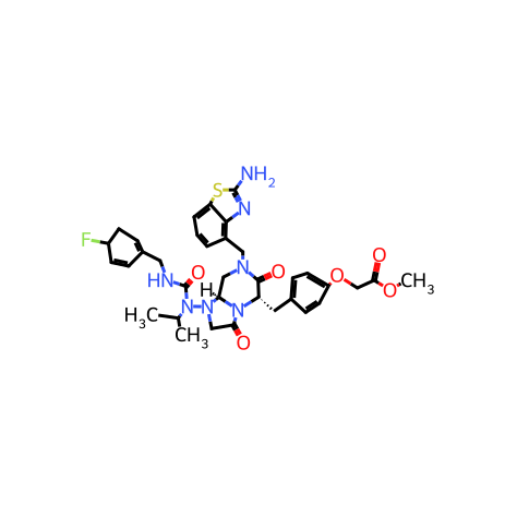 COC(=O)COc1ccc(C[C@H]2C(=O)N(Cc3cccc4sc(N)nc34)C[C@H]3N2C(=O)CN3N(C(=O)NCC2=CCC(F)C=C2)C(C)C)cc1